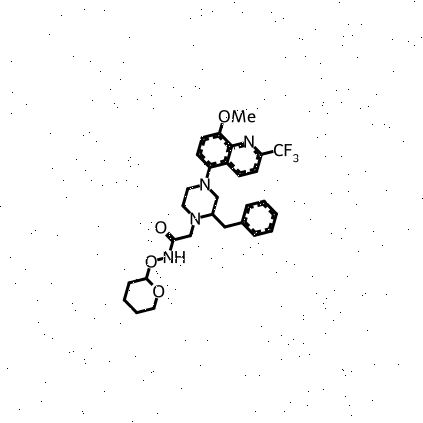 COc1ccc(N2CCN(CC(=O)NOC3CCCCO3)C(Cc3ccccc3)C2)c2ccc(C(F)(F)F)nc12